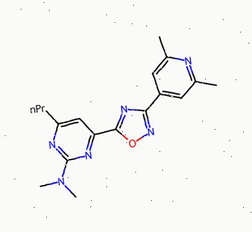 CCCc1cc(-c2nc(-c3cc(C)nc(C)c3)no2)nc(N(C)C)n1